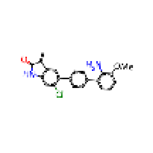 C=C1C(=O)Nc2cc(Cl)c(-c3ccc(-c4cccc(OC)c4N)cc3)cc21